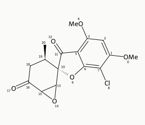 COc1cc(OC)c2c(c1Cl)O[C@]1(C2=O)C2OC2C(=O)C[C@H]1C